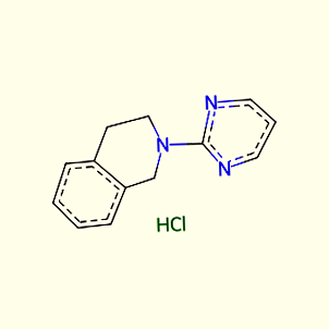 Cl.c1cnc(N2CCc3ccccc3C2)nc1